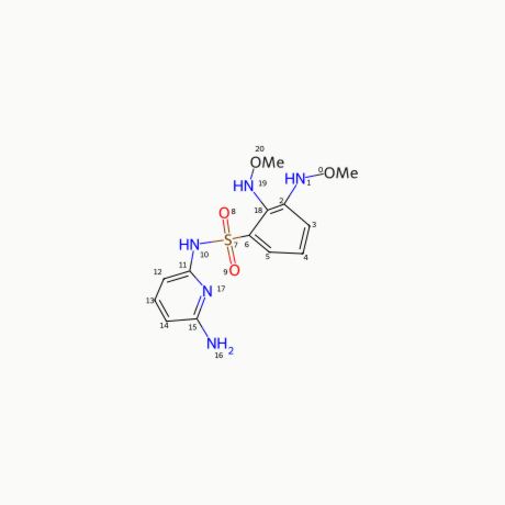 CONc1cccc(S(=O)(=O)Nc2cccc(N)n2)c1NOC